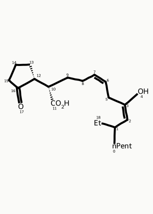 CCCCCC(/C=C(/O)C/C=C\CC[C@H](C(=O)O)[C@H]1CCCC1=O)CC